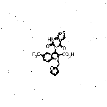 O=C(O)c1c(-n2c(=O)[nH]c3cscc3c2=O)c2cc(C(F)(F)F)ccc2n1Cc1ccco1